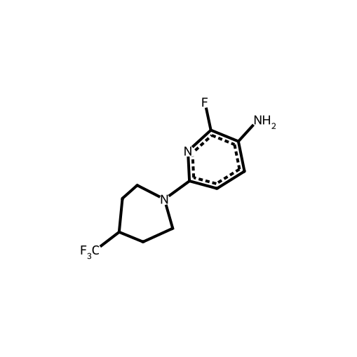 Nc1ccc(N2CCC(C(F)(F)F)CC2)nc1F